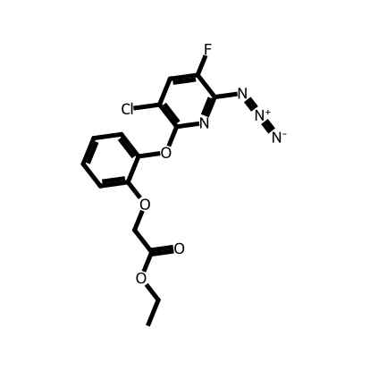 CCOC(=O)COc1ccccc1Oc1nc(N=[N+]=[N-])c(F)cc1Cl